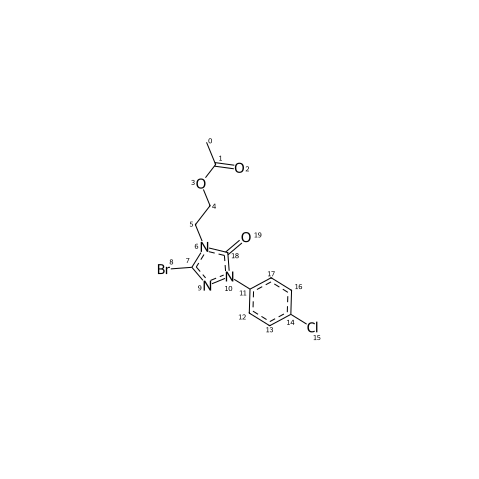 CC(=O)OCCn1c(Br)nn(-c2ccc(Cl)cc2)c1=O